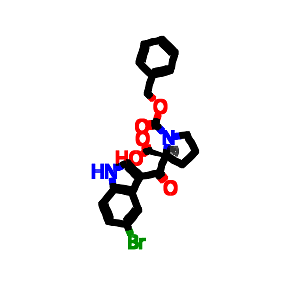 O=C(OCc1ccccc1)N1CCC[C@]1(C(=O)O)C(=O)c1c[nH]c2ccc(Br)cc12